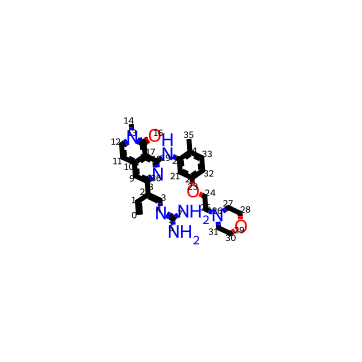 C=C/C(=C\N=C(N)N)c1cc2ccn(C)c(=O)c2c(Nc2cc(OCCN3CCOCC3)ccc2C)n1